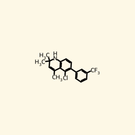 CC1=CC(C)(C)Nc2ccc(-c3cccc(C(F)(F)F)c3)c(Cl)c21